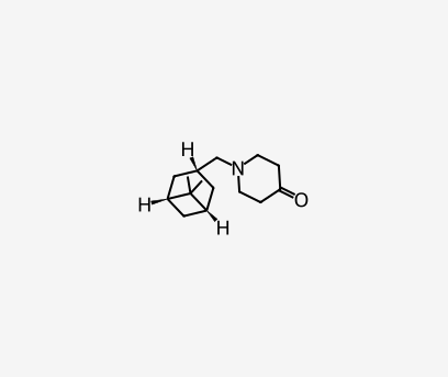 CC1(C)[C@@H]2C[C@@H](CN3CCC(=O)CC3)C[C@H]1C2